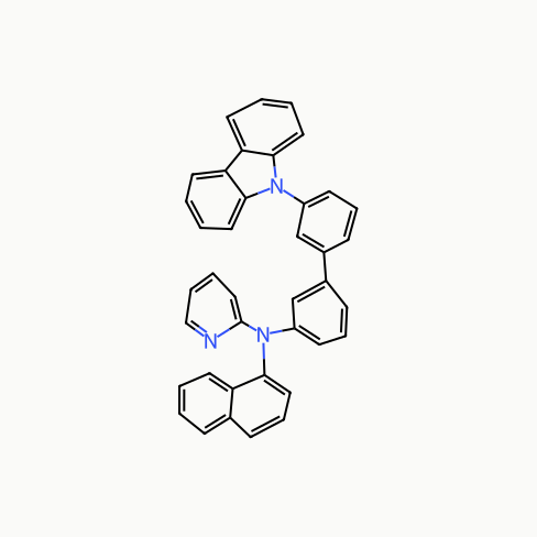 c1ccc(N(c2cccc(-c3cccc(-n4c5ccccc5c5ccccc54)c3)c2)c2cccc3ccccc23)nc1